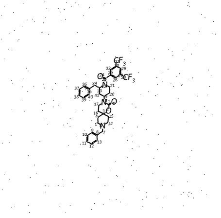 O=C1OC2(CCN(Cc3ccccc3)CC2)CCN1C1CCN(C(=O)c2cc(C(F)(F)F)cc(C(F)(F)F)c2)C(Cc2ccccc2)C1